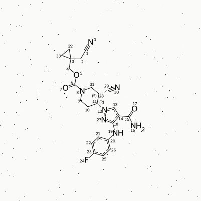 N#CCC1(COC(=O)N2CC[C@@H](n3cc(C(N)=O)c(Nc4ccc(F)cc4)n3)[C@@H](C#N)C2)CC1